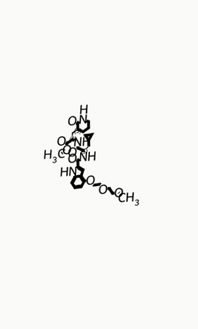 COCCOCCOc1cccc2[nH]c(C(=O)N[C@@H](CC3CC3)C(=O)N[C@@H](C[C@@H]3CCCNC3=O)C(=O)OC)cc12